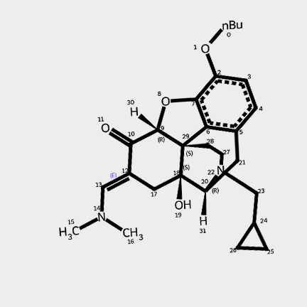 CCCCOc1ccc2c3c1O[C@H]1C(=O)/C(=C/N(C)C)C[C@@]4(O)[C@@H](C2)N(CC2CC2)CC[C@]314